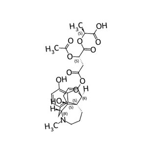 CC(=O)O[C@@H](CC(=O)OC1=CC[C@@]2(O)[C@H]3Cc4ccc(O)c5c4[C@@]2(CCCN3C)[C@H]1O5)C(=O)O[C@@H](C)C(=O)O